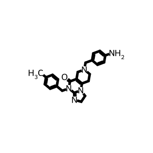 Cc1ccc(CN2C(=O)C3=C(CCN(Cc4ccc(N)cc4)C3)N3CCN=C23)cc1